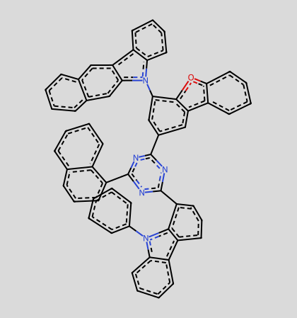 c1ccc(-n2c3ccccc3c3cccc(-c4nc(-c5cc(-n6c7ccccc7c7cc8ccccc8cc76)c6oc7ccccc7c6c5)nc(-c5cccc6ccccc56)n4)c32)cc1